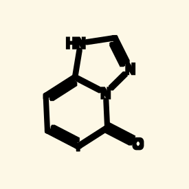 O=c1[c]ccc2[nH]cnn12